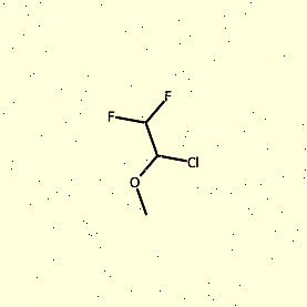 COC(Cl)C(F)F